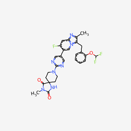 Cc1nc2cc(F)c(-c3cnc(N4CCC5(CC4)NC(=O)N(C)C5=O)nc3)cn2c1Cc1ccccc1OC(F)F